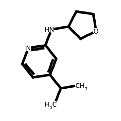 CC(C)c1ccnc(NC2CCOC2)c1